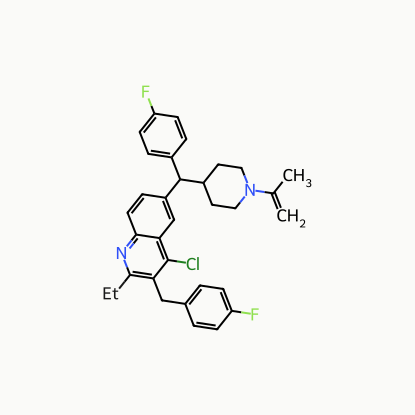 C=C(C)N1CCC(C(c2ccc(F)cc2)c2ccc3nc(CC)c(Cc4ccc(F)cc4)c(Cl)c3c2)CC1